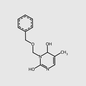 CC1=CN=C(O)N(COCc2ccccc2)C1O